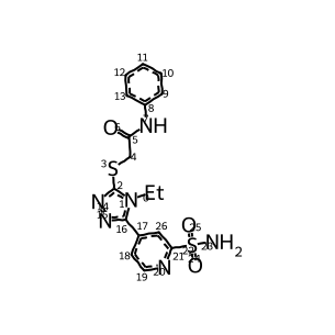 CCn1c(SCC(=O)Nc2ccccc2)nnc1-c1ccnc(S(N)(=O)=O)c1